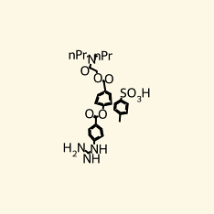 CCCN(CCC)C(=O)COC(=O)c1ccc(OC(=O)c2ccc(NC(=N)N)cc2)cc1.Cc1ccc(S(=O)(=O)O)cc1